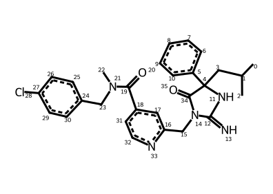 CC(C)CC1(c2ccccc2)NC(=N)N(Cc2cc(C(=O)N(C)Cc3ccc(Cl)cc3)ccn2)C1=O